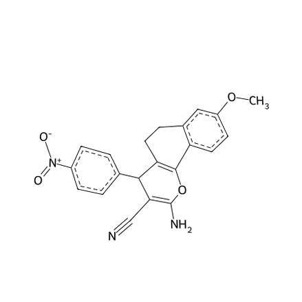 COc1ccc2c(c1)CCC1=C2OC(N)=C(C#N)C1c1ccc([N+](=O)[O-])cc1